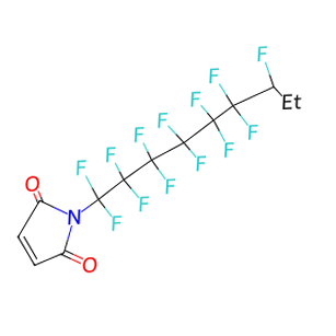 CCC(F)C(F)(F)C(F)(F)C(F)(F)C(F)(F)C(F)(F)C(F)(F)N1C(=O)C=CC1=O